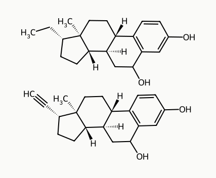 C#C[C@H]1CC[C@H]2[C@@H]3CC(O)c4cc(O)ccc4[C@H]3CC[C@]12C.CC[C@H]1CC[C@H]2[C@@H]3CC(O)c4cc(O)ccc4[C@H]3CC[C@]12C